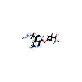 CN(C)C(=O)C1(C)CC(Oc2ncc(C(C)(C)N=[N+]=[N-])c3cc(Cl)ncc23)C1